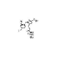 CCCCS(=O)(=O)NC(=O)CCc1cc(OC(C)C)nn1Cc1ccc(Cl)cc1Cl